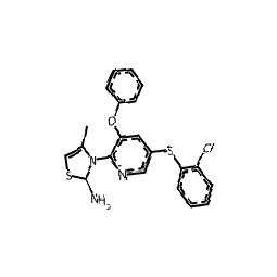 CC1=CSC(N)N1c1ncc(Sc2ccccc2Cl)cc1Oc1ccccc1